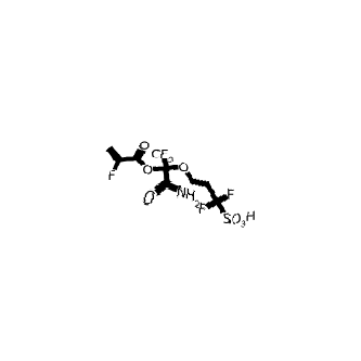 C=C(F)C(=O)OC(OCCC(F)(F)S(=O)(=O)O)(C(N)=O)C(F)(F)F